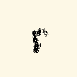 CC(C)(C)OC(=O)N1CCC[C@@H]1COc1ccc(OCc2cc3c(cc2Cl)OCO3)cc1